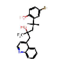 CC(C)(CC(O)(Cc1ccnc2ccccc12)C(F)(F)F)c1cc(Br)ccc1O